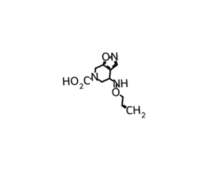 C=CCONC1CN(C(=O)O)Cc2oncc21